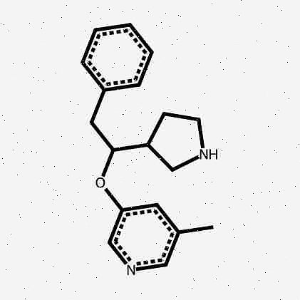 Cc1cncc(OC(Cc2ccccc2)C2CCNC2)c1